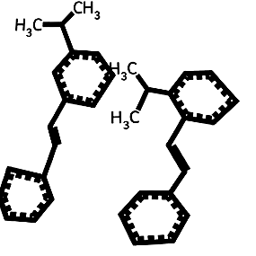 CC(C)c1cccc(/C=C/c2ccccc2)c1.CC(C)c1ccccc1/C=C/c1ccccc1